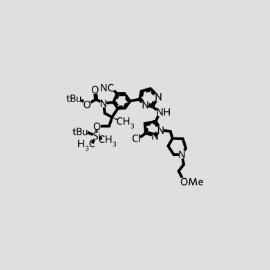 COCCN1CCC(Cn2nc(Cl)cc2Nc2nccc(-c3cc(C#N)c4c(c3)[C@@](C)(CO[Si](C)(C)C(C)(C)C)CN4C(=O)OC(C)(C)C)n2)CC1